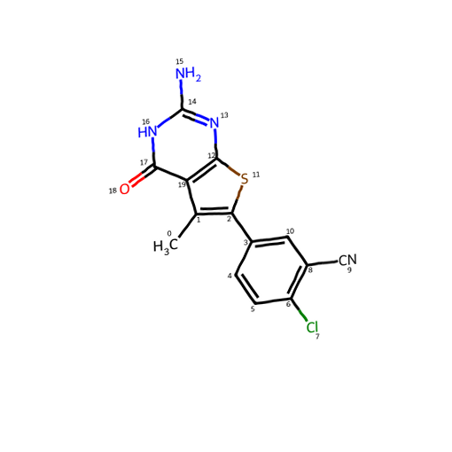 Cc1c(-c2ccc(Cl)c(C#N)c2)sc2nc(N)[nH]c(=O)c12